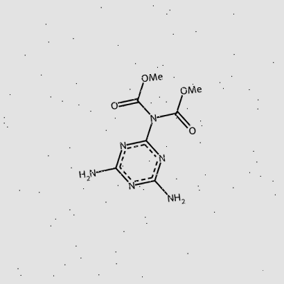 COC(=O)N(C(=O)OC)c1nc(N)nc(N)n1